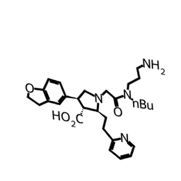 CCCCN(CCCN)C(=O)CN1C[C@H](c2ccc3c(c2)CCO3)[C@@H](C(=O)O)[C@@H]1CCc1ccccn1